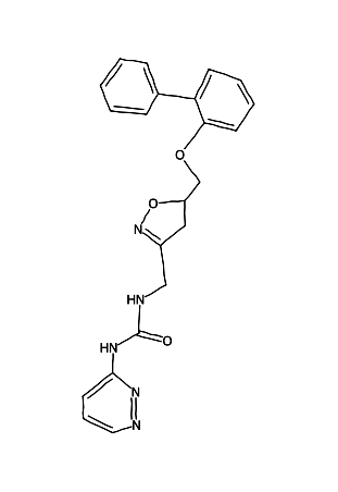 O=C(NCC1=NOC(COc2ccccc2-c2ccccc2)C1)Nc1cccnn1